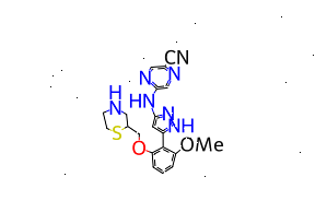 COc1cccc(OCC2CNCCS2)c1-c1cc(Nc2cnc(C#N)cn2)n[nH]1